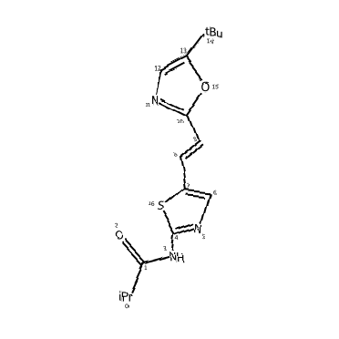 CC(C)C(=O)Nc1ncc(/C=C/c2ncc(C(C)(C)C)o2)s1